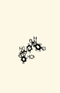 CC1(C(O)CN2CCC(n3c(=O)[nH]c4cc(Cl)ccc43)CC2)COc2ccccc2O1.Cl